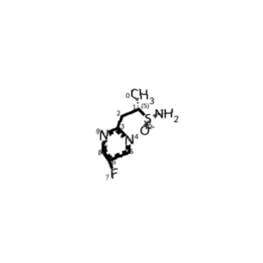 C[C@@H](Cc1ncc(F)cn1)[S+](N)[O-]